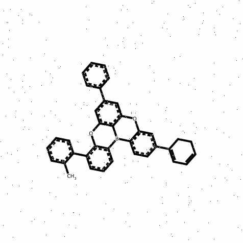 Cc1ccccc1-c1cccc2c1Oc1cc(-c3ccccc3)cc3c1B2c1ccc(C2=CC=CCC2)cc1O3